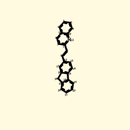 C(=C\c1ccc2ccccc2n1)/c1ccc2c(c1)Cc1ccccc1-2